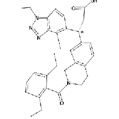 CCc1cccc(CC)c1C(=O)N1CCc2ccc([C@@H](CC(=O)O)c3ccc4c(nnn4CC)c3C)cc2C1